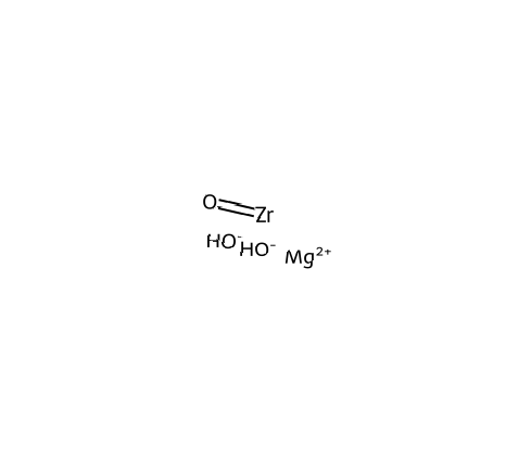 [Mg+2].[OH-].[OH-].[O]=[Zr]